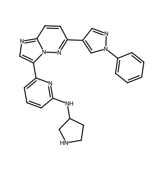 c1ccc(-n2cc(-c3ccc4ncc(-c5cccc(NC6CCNC6)n5)n4n3)cn2)cc1